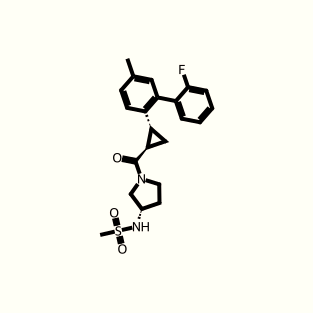 Cc1ccc([C@@H]2C[C@H]2C(=O)N2CC[C@H](NS(C)(=O)=O)C2)c(-c2ccccc2F)c1